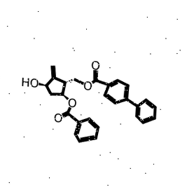 C=C1[C@H](O)C[C@H](OC(=O)c2ccccc2)[C@H]1COC(=O)c1ccc(-c2ccccc2)cc1